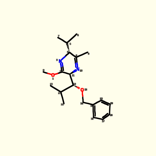 COC1=N[C@H](C(C)C)C(C)=N[C@H]1[C@H](OCc1ccccc1)C(C)C